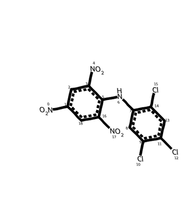 O=[N+]([O-])c1cc([N+](=O)[O-])c(Nc2cc(Cl)c(Cl)cc2Cl)c([N+](=O)[O-])c1